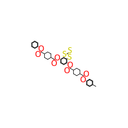 Cc1ccc(OC(=O)C2CCC(C(=O)Oc3ccc(OC(=O)C4CCC(C(=O)Oc5ccccc5)CC4)c4sc(=S)sc34)CC2)cc1